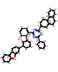 C1=CC2Oc3c(-c4ccc5c(c4)oc4ccccc45)cccc3C2C(c2nc(-c3ccccc3)nc(-c3ccc4c(ccc5ccccc54)c3)n2)=C1